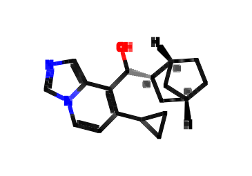 OC(c1c(C2CC2)ccn2cncc12)[C@H]1C[C@H]2CC[C@@H]1C2